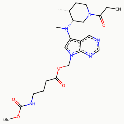 C[C@@H]1CCN(C(=O)CC#N)C[C@@H]1N(C)c1cn(COC(=O)CCCNC(=O)OC(C)(C)C)c2ncncc12